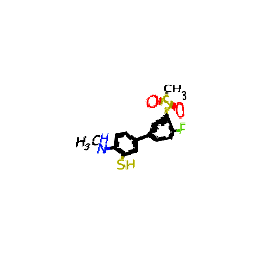 CNc1ccc(-c2ccc(F)c(S(C)(=O)=O)c2)cc1S